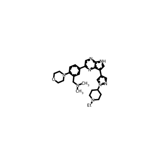 CCN1CCC(n2cc(-c3c[nH]c4ncc(-c5ccc(N6CCOCC6)c(CN(C)C)c5)nc34)cn2)CC1